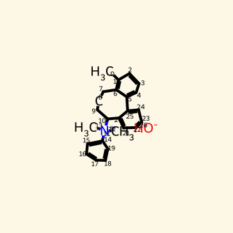 Cc1cccc2c1CCCC([N+](C)(C)c1ccccc1)c1ccccc1-2.[OH-]